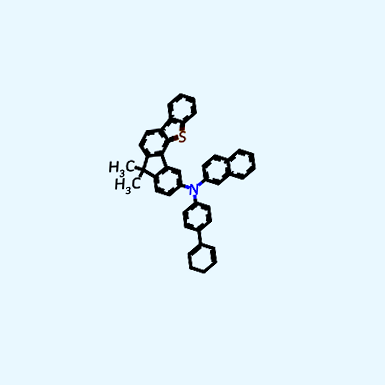 CC1(C)c2ccc(N(c3ccc(C4=CCCC=C4)cc3)c3ccc4ccccc4c3)cc2-c2c1ccc1c2sc2ccccc21